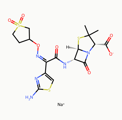 CC1(C)S[C@@H]2[C@@H](NC(=O)/C(=N\OC3CCS(=O)(=O)C3)c3csc(N)n3)C(=O)N2[C@H]1C(=O)[O-].[Na+]